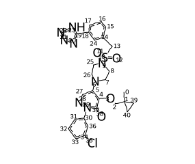 CC1(COc2c(N3CCN(S(=O)(=O)Cc4cccc(-c5nnn[nH]5)c4)CC3)cnn(-c3cccc(Cl)c3)c2=O)CC1